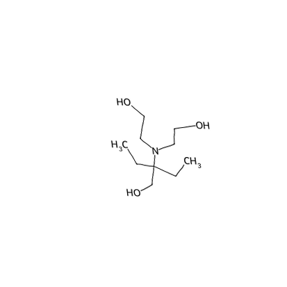 CCC(CC)(CO)N(CCO)CCO